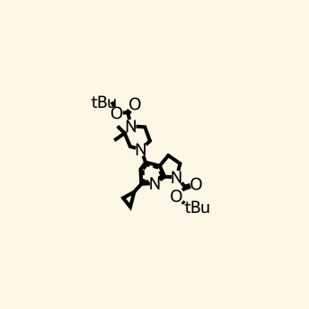 CC(C)(C)OC(=O)N1CCc2c(N3CCN(C(=O)OC(C)(C)C)C(C)(C)C3)cc(C3CC3)nc21